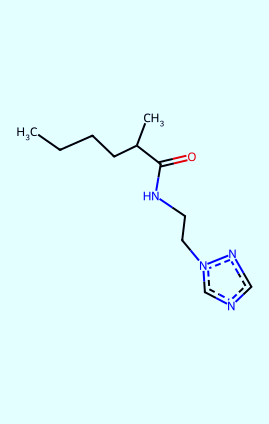 CCCCC(C)C(=O)NCCn1cncn1